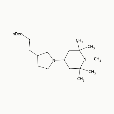 CCCCCCCCCCCCC1CCN(C2CC(C)(C)N(C)C(C)(C)C2)C1